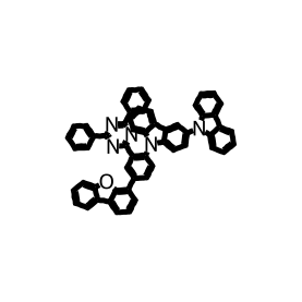 c1ccc(-c2nc(-c3ccccc3)nc(-c3cc(-c4cccc5c4oc4ccccc45)ccc3-n3c4ccccc4c4cc(-n5c6ccccc6c6ccccc65)ccc43)n2)cc1